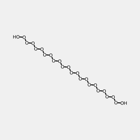 OOOOOOOOOOOOOOOOOOOOOOOO